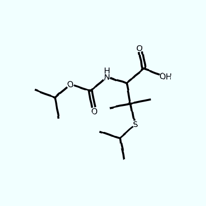 CC(C)OC(=O)NC(C(=O)O)C(C)(C)SC(C)C